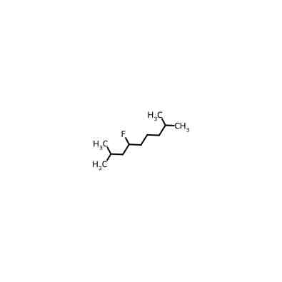 CC(C)CCCC(F)CC(C)C